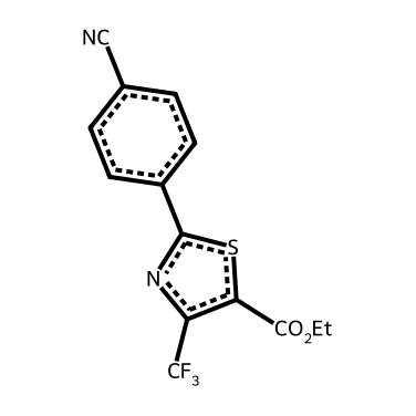 CCOC(=O)c1sc(-c2ccc(C#N)cc2)nc1C(F)(F)F